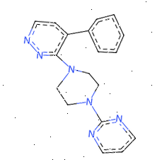 c1ccc(-c2ccnnc2N2CCN(c3ncccn3)CC2)cc1